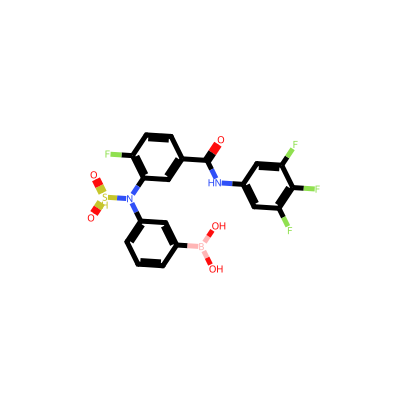 O=C(Nc1cc(F)c(F)c(F)c1)c1ccc(F)c(N(c2cccc(B(O)O)c2)[SH](=O)=O)c1